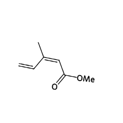 C=CC(C)=CC(=O)OC